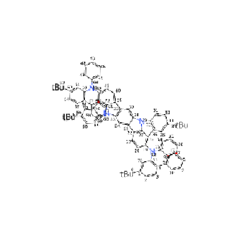 CC(C)(C)c1ccc(-c2ccccc2)c(N(c2ccccc2)c2ccc3c4cc5c(cc4n4c6ccc(C(C)(C)C)cc6c2c34)c2ccc(N(c3ccccc3)c3cc(C(C)(C)C)ccc3-c3ccccc3)c3c4cc(C(C)(C)C)ccc4n5c23)c1